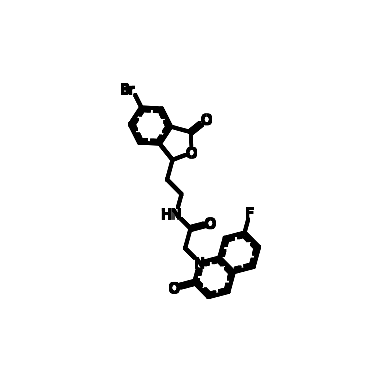 O=C(Cn1c(=O)ccc2ccc(F)cc21)NCCC1OC(=O)c2cc(Br)ccc21